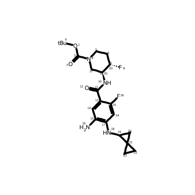 CC(C)(C)OC(=O)N1CC[C@H](F)[C@@H](NC(=O)c2cc(N)c(NC3CC34CC4)cc2F)C1